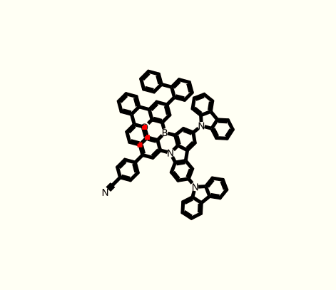 N#Cc1ccc(-c2cc3c4c(c2)-n2c5ccc(-n6c7ccccc7c7ccccc76)cc5c5cc(-n6c7ccccc7c7ccccc76)cc(c52)B4c2cc(-c4ccccc4-c4ccccc4)cc(-c4ccccc4-c4ccccc4)c2O3)cc1